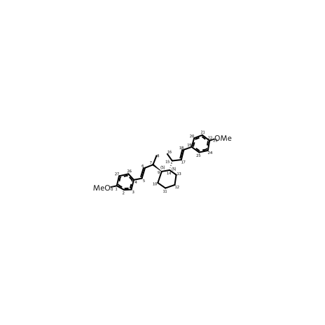 COc1ccc(C=CC(C)[C@@H]2CCCC[C@H]2C(C)C=Cc2ccc(OC)cc2)cc1